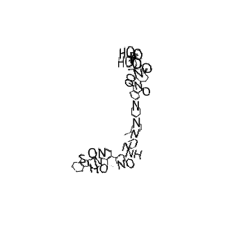 COc1ncc(-c2ccnc(N3CCc4c(sc5c4CCCC5)C3=O)c2[C@H](C)O)cc1Nc1ccc(N2CCN(C3CCN(c4ccc5c(c4)C(=O)N([C@H]4CCC(=O)N(C(C)OP(=O)(O)O)C4=O)C5=O)CC3)C[C@@H]2C)cn1